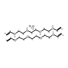 C=COCCOCCOCCOC=C.C=COCCOCCOCCOC=C.O